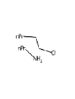 CCCCCCl.CCCN